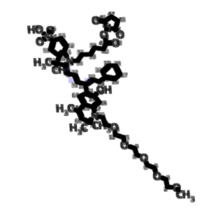 COCCOCCOCCOCCOCCN1c2cc(O)c(C(=C\Cc3ccccc3)/C=C/C=C3\N(CCCCCC(=O)ON4C(=O)CCC4=O)c4ccc(S(=O)(=O)O)cc4C3(C)C)cc2C(C)=CC1(C)C